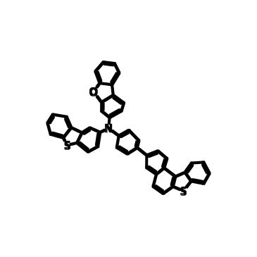 c1ccc2c(c1)oc1cc(N(c3ccc(-c4ccc5c(ccc6sc7ccccc7c65)c4)cc3)c3ccc4sc5ccccc5c4c3)ccc12